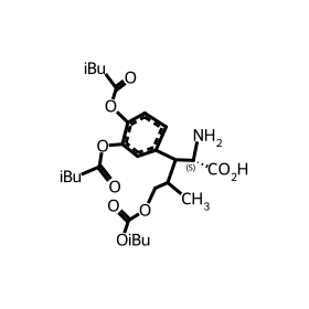 CCC(C)C(=O)Oc1ccc(C(C(C)COC(=O)OCC(C)C)[C@H](N)C(=O)O)cc1OC(=O)C(C)CC